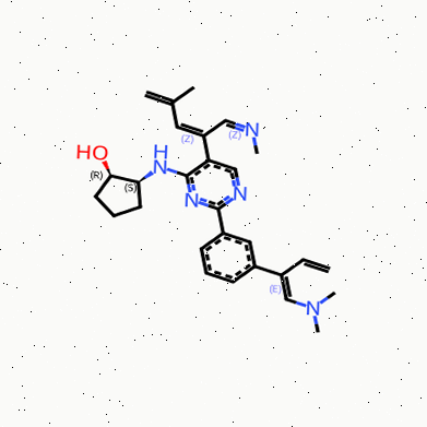 C=C/C(=C\N(C)C)c1cccc(-c2ncc(C(/C=N\C)=C/C(=C)C)c(N[C@H]3CCC[C@H]3O)n2)c1